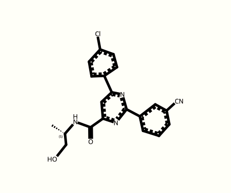 C[C@@H](CO)NC(=O)c1cc(-c2ccc(Cl)cc2)nc(-c2cccc(C#N)c2)n1